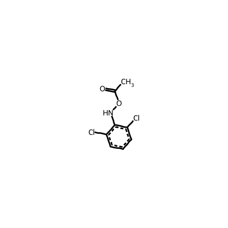 CC(=O)ONc1c(Cl)cccc1Cl